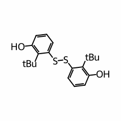 CC(C)(C)c1c(O)cccc1SSc1cccc(O)c1C(C)(C)C